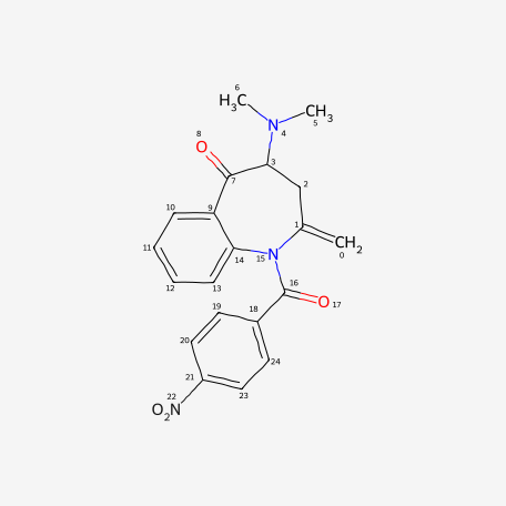 C=C1CC(N(C)C)C(=O)c2ccccc2N1C(=O)c1ccc([N+](=O)[O-])cc1